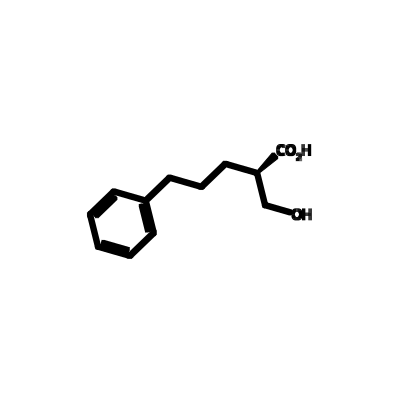 O=C(O)[C@@H](CO)CCCc1ccccc1